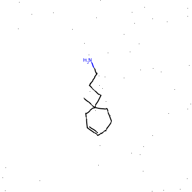 CC1(CCCN)CC=CCCC1